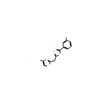 CCOC(=O)c1coc(Cc2nnc(-c3cccc(F)c3)s2)n1